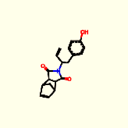 C=CC(Cc1ccc(O)cc1)N1C(=O)C2C3C=CC(C3)C2C1=O